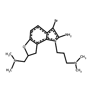 CN(C)CCCn1c(N)c(Br)c2ccc3c(c21)CC(CN(C)C)O3